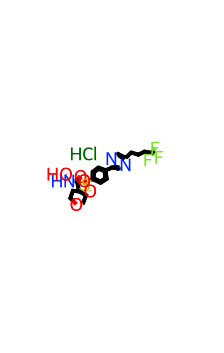 Cl.O=C(NO)C1(S(=O)(=O)c2ccc(-c3cnc(CCCC(F)(F)F)cn3)cc2)CCOCC1